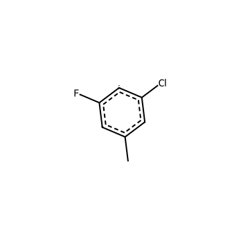 Cc1cc(F)[c]c(Cl)c1